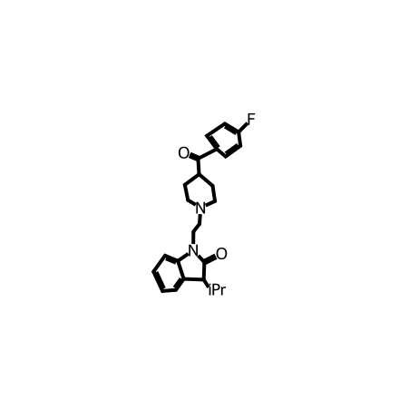 CC(C)C1C(=O)N(CCN2CCC(C(=O)c3ccc(F)cc3)CC2)c2ccccc21